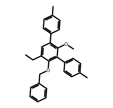 CCc1[c]c(-c2ccc(C)cc2)c(OC)c(-c2ccc(C)cc2)c1OCc1ccccc1